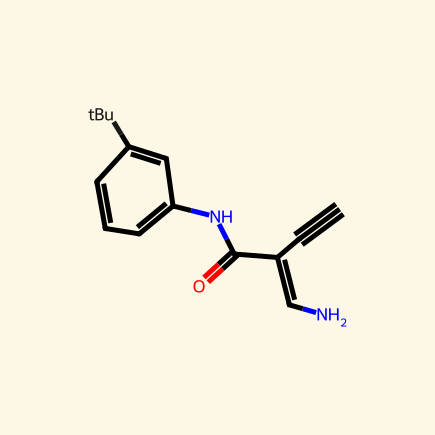 C#C/C(=C\N)C(=O)Nc1cccc(C(C)(C)C)c1